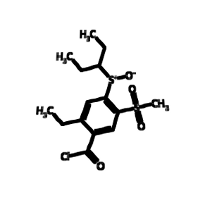 CCc1cc([S+]([O-])C(CC)CC)c(S(C)(=O)=O)cc1C(=O)Cl